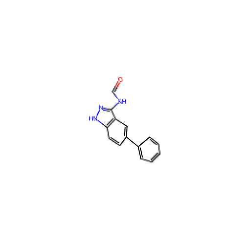 O=CNc1n[nH]c2ccc(-c3ccccc3)cc12